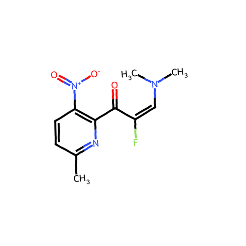 Cc1ccc([N+](=O)[O-])c(C(=O)/C(F)=C\N(C)C)n1